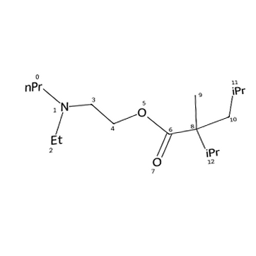 CCCN(CC)CCOC(=O)C(C)(CC(C)C)C(C)C